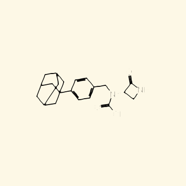 O=C1NC[C@@H]1N(Cc1ccc(C23CC4CC(CC(C4)C2)C3)cc1)C(=O)O